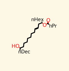 CCCCCCCCCCC(O)CCCCCCCC=CC[C@@H](CCCCCC)OC(=O)CCC